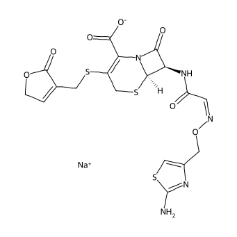 Nc1nc(CO/N=C\C(=O)N[C@@H]2C(=O)N3C(C(=O)[O-])=C(SCC4=CCOC4=O)CS[C@H]23)cs1.[Na+]